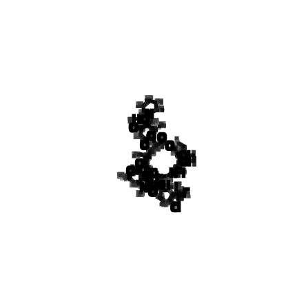 CC[C@H]1OC(=O)[C@H](C)[C@@H](O[C@H]2C[C@@](C)(OC)[C@](O)(CN3CCCCC3)[C@H](C)O2)[C@H](C)[C@@H](O[C@H]2O[C@@H](C)C[C@@H](N(C)S(=O)(=O)Nc3ccc(Cl)c(C(F)(F)F)c3)[C@@H]2O)[C@](C)(O)C[C@@H](C)CN[C@H](C)[C@@H](O)[C@]1(C)O